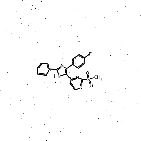 CS(=O)(=O)c1nccc(-c2[nH]c(-c3ccccc3)nc2-c2ccc(F)cc2)n1